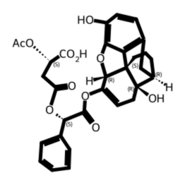 CC(=O)O[C@@H](CC(=O)O[C@H](C(=O)OC1=CC[C@@]2(O)[C@@H]3CCC[C@@]24c2c(ccc(O)c2O[C@@H]14)C3)c1ccccc1)C(=O)O